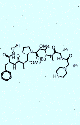 CCONC(=O)[C@H](Cc1ccccc1)NC(=O)[C@H](C)[C@@H](OC)[C@@H]1CCCN1C(=O)CC(OC)[C@H]([C@@H](C)CC)N(C)C(=O)[C@@H](NC(=O)[C@H](C(C)C)N1CCNCC1)C(C)C